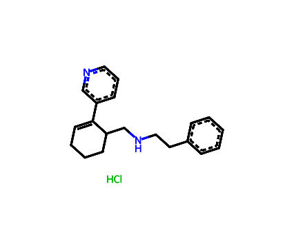 C1=C(c2cccnc2)C(CNCCc2ccccc2)CCC1.Cl